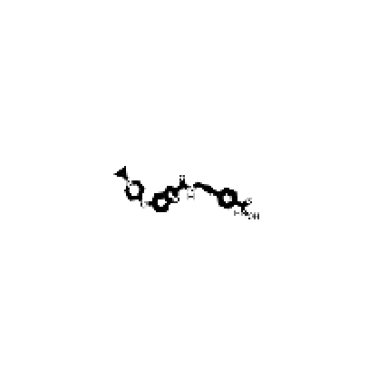 O=C(NCC#Cc1ccc(C(=S)NO)cc1)c1cc2cc(OC3CCN(C4CC4)CC3)ccc2o1